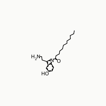 CCCCCCCCCCCC(=O)n1cc(CCN)c2cc(O)ccc21